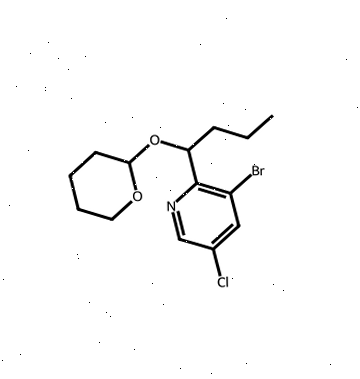 CCCC(OC1CCCCO1)c1ncc(Cl)cc1Br